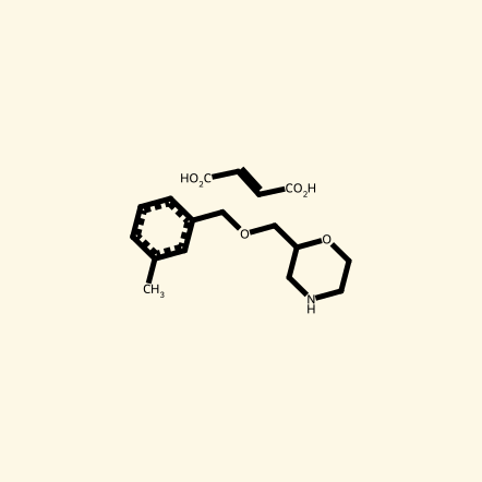 Cc1cccc(COCC2CNCCO2)c1.O=C(O)C=CC(=O)O